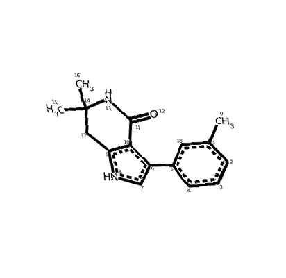 Cc1cccc(-c2c[nH]c3c2C(=O)NC(C)(C)C3)c1